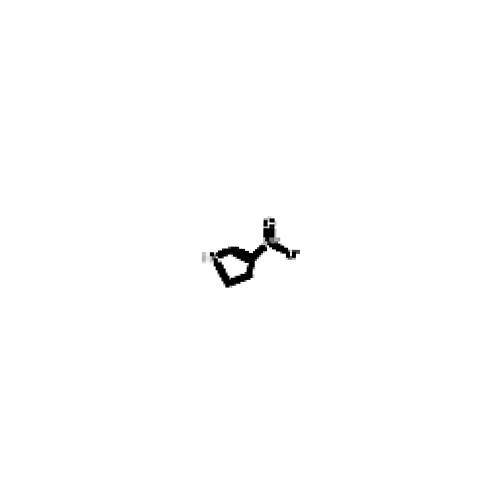 O=[N+]([O-])C1=CNC[CH]1